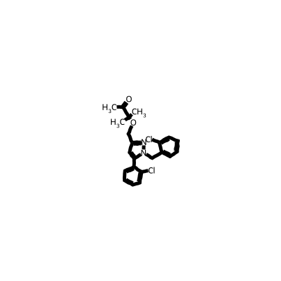 CC(=O)C(C)(C)OCc1cc(-c2ccccc2Cl)n(Cc2ccccc2Cl)n1